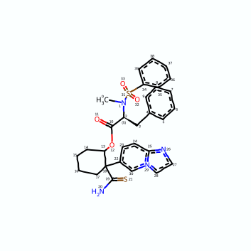 CN([C@@H](Cc1ccccc1)C(=O)OC1CCCCC1(C(N)=S)c1ccc2nccn2c1)S(=O)(=O)c1ccccc1